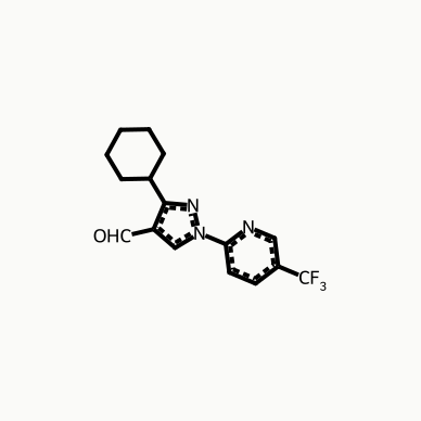 O=Cc1cn(-c2ccc(C(F)(F)F)cn2)nc1C1CCCCC1